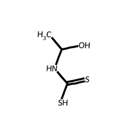 CC(O)NC(=S)S